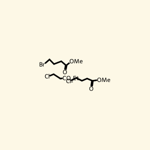 CCOC(=O)CCCl.COC(=O)CCCBr.COC(=O)CCCCl